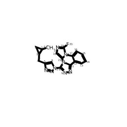 CC1CC1Cc1cn(-c2nnc3c4ccccc4n4c(F)ncc4n23)nn1